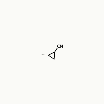 C[C@H]1C[C]1C#N